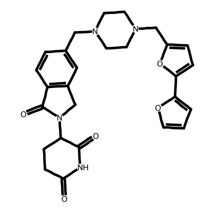 O=C1CCC(N2Cc3cc(CN4CCN(Cc5ccc(-c6ccco6)o5)CC4)ccc3C2=O)C(=O)N1